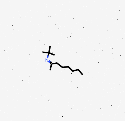 CCCCCC/C(C)=N\C(C)(C)C